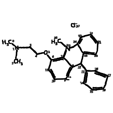 CN(C)CCOC1=C2C(=[C+]C=C1)C(c1ccccc1)c1ccccc1N2C.[Cl-]